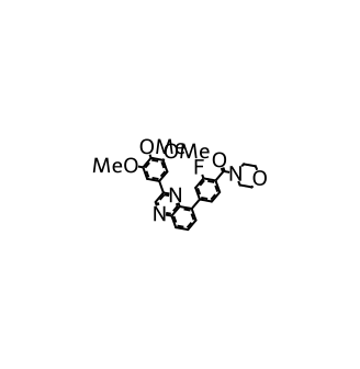 COc1cc(-c2cnc3cccc(-c4ccc(C(=O)N5CCOCC5)c(F)c4)c3n2)cc(OC)c1OC